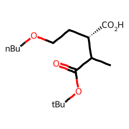 CCCCOCC[C@H](C(=O)O)C(C)C(=O)OC(C)(C)C